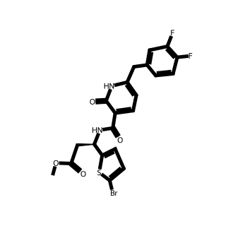 COC(=O)C[C@@H](NC(=O)c1ccc(Cc2ccc(F)c(F)c2)[nH]c1=O)c1ccc(Br)s1